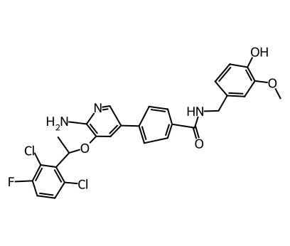 COc1cc(CNC(=O)c2ccc(-c3cnc(N)c(OC(C)c4c(Cl)ccc(F)c4Cl)c3)cc2)ccc1O